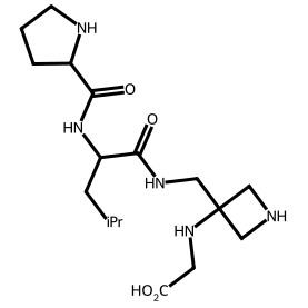 CC(C)CC(NC(=O)C1CCCN1)C(=O)NCC1(NCC(=O)O)CNC1